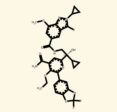 CCOc1c(C(N)=O)cc([C@@](O)(CNC(=O)c2cc(OC)c3nn(C4CC4)c(F)c3c2)C2CC2)nc1-c1ccc2c(c1)OC(F)(F)O2